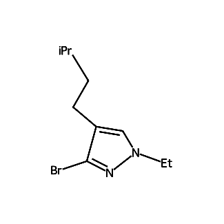 CCn1cc(CCC(C)C)c(Br)n1